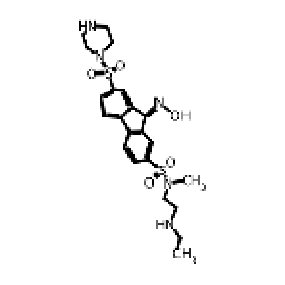 CCNCCN(C)S(=O)(=O)c1ccc2c(c1)/C(=N\O)c1cc(S(=O)(=O)N3CCNCC3)ccc1-2